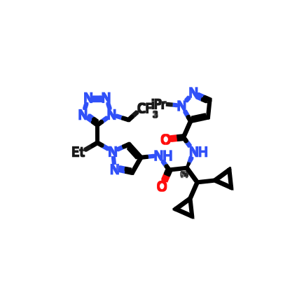 CCC(c1nnnn1CC(F)(F)F)n1cc(NC(=O)[C@@H](NC(=O)c2ccnn2C(C)C)C(C2CC2)C2CC2)cn1